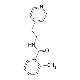 Cc1ccccc1C(=O)NCCc1ccncc1